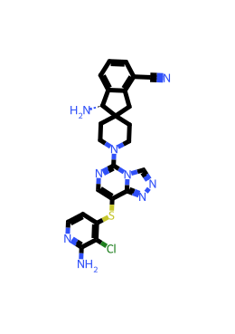 N#Cc1cccc2c1CC1(CCN(c3ncc(Sc4ccnc(N)c4Cl)c4nncn34)CC1)[C@@H]2N